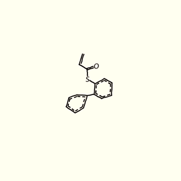 C=CC(=O)Sc1ccccc1-c1ccccc1